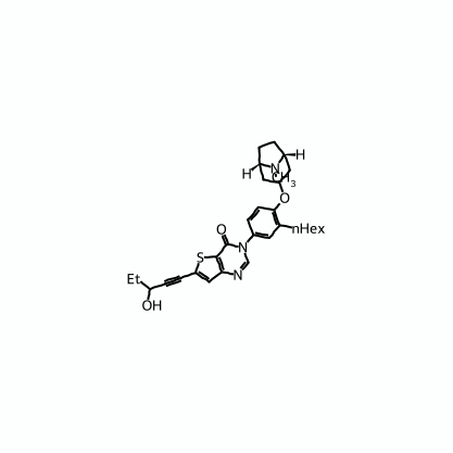 CCCCCCc1cc(-n2cnc3cc(C#CC(O)CC)sc3c2=O)ccc1OC1C[C@H]2CC[C@@H](C1)N2C